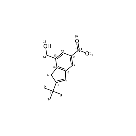 CC(C)(C)C1=Cc2cc([N+](=O)[O-])cc(CO)c2C1